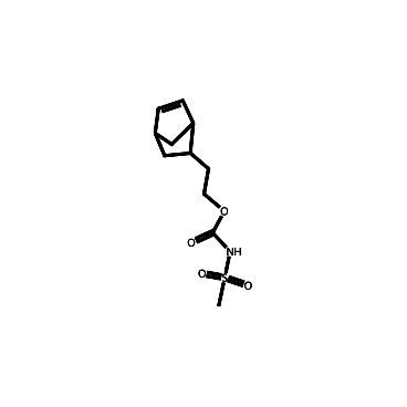 CS(=O)(=O)NC(=O)OCCC1CC2C=CC1C2